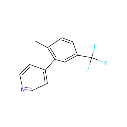 Cc1ccc(C(F)(F)F)cc1-c1ccncc1